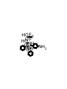 Nc1ccc(C(NC(=O)O)P(=O)(Oc2ccccc2)Oc2ccccc2)cc1.O=C(O)C(F)(F)F